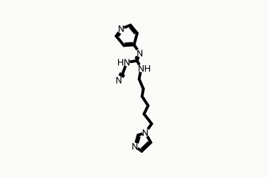 N#CNC(=Nc1ccncc1)NCCCCCCn1ccnc1